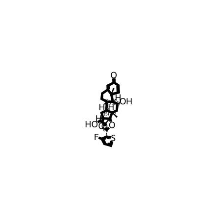 C[C@]12C=CC(=O)C=C1CC[C@@H]1[C@@H]2[C@@H](O)C[C@@]2(C)[C@H]1C[C@H]1O[C@@H](c3sccc3F)O[C@]12C(=O)CO